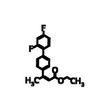 CCOC(=O)/C=C(/C)c1ccc(-c2ccc(F)cc2F)cc1